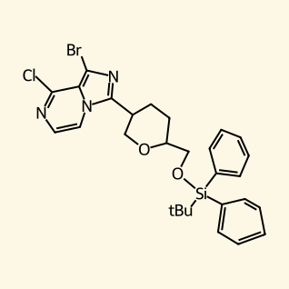 CC(C)(C)[Si](OCC1CCC(c2nc(Br)c3c(Cl)nccn23)CO1)(c1ccccc1)c1ccccc1